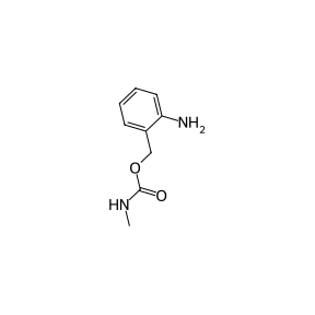 CNC(=O)OCc1ccccc1N